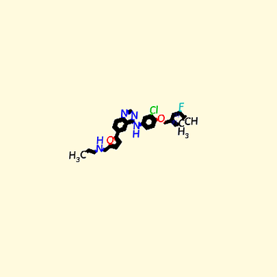 C#C/C(F)=C\C(=C/C)COc1ccc(Nc2ncnc3ccc(-c4ccc(CNCCC)o4)cc23)cc1Cl